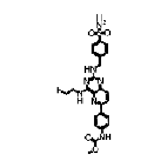 COC(=O)Nc1ccc(-c2ccc3nc(NCc4ccc(S(N)(=O)=O)cc4)nc(NCCF)c3n2)cc1